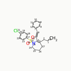 C=CCC1=C(C#Cc2ccccc2)N(S(=O)(=O)c2ccc(Cl)cc2)CCCC1